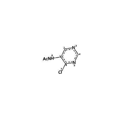 CC(=O)Nc1cncnc1Cl